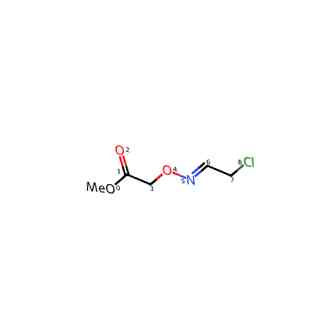 COC(=O)CON=CCCl